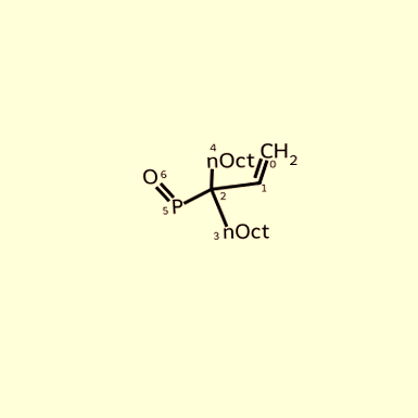 C=CC(CCCCCCCC)(CCCCCCCC)P=O